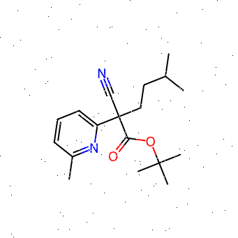 Cc1cccc(C(C#N)(CCC(C)C)C(=O)OC(C)(C)C)n1